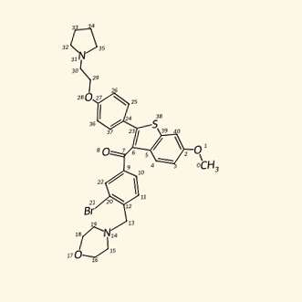 COc1ccc2c(C(=O)c3ccc(CN4CCOCC4)c(Br)c3)c(-c3ccc(OCCN4CCCC4)cc3)sc2c1